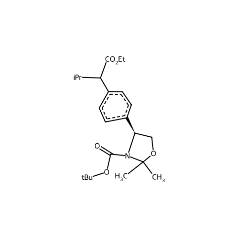 CCOC(=O)C(c1ccc([C@H]2COC(C)(C)N2C(=O)OC(C)(C)C)cc1)C(C)C